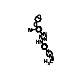 CSN1CCN(c2ccc(Nc3ncnc(-c4ccc(OC5CCOCC5)c(C#N)c4)n3)cc2)CC1